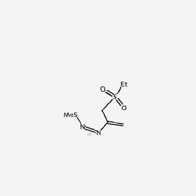 C=C(CS(=O)(=O)CC)/N=N\SC